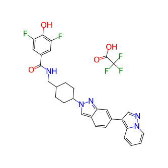 O=C(NCC1CCC(n2cc3ccc(-c4cnn5ccccc45)cc3n2)CC1)c1cc(F)c(O)c(F)c1.O=C(O)C(F)(F)F